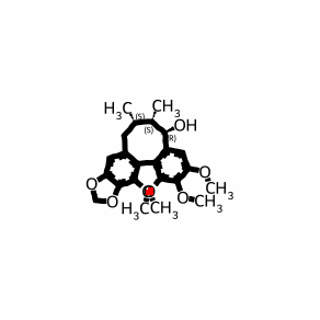 COc1cc2c(c(OC)c1OC)-c1c(cc3c(c1OC)OCO3)C[C@H](C)[C@H](C)[C@H]2O